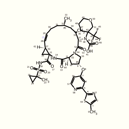 Cc1cnc(-c2cc(O[C@@H]3C[C@H]4C(=O)N[C@]5(C(=O)NS(=O)(=O)C6(C)CC6)C[C@H]5/C=C\CC[C@@H](C)C[C@@H](C)[C@H](N(C(=O)O)C5(C(F)(F)F)CCCOC5)C(=O)N4C3)ccn2)s1